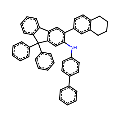 c1ccc(-c2ccc(Nc3cc4c(cc3-c3ccc5c(c3)CCCC5)-c3ccccc3C4(c3ccccc3)c3ccccc3)cc2)cc1